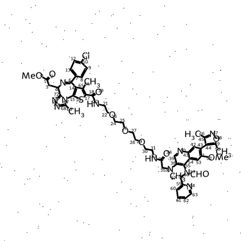 COC(=O)CC1N=C(c2ccc(Cl)cc2)c2c(sc(C(=O)NCCOCCOCCOCCNC(=O)CN(C)c3cnc4cc(-c5c(C)noc5C)c(OC)cc4c3N(C=O)Cc3ccccn3)c2C)-n2c(C)nnc21